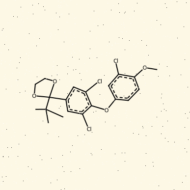 COc1ccc(Oc2c(Cl)cc(C3(C(C)(C)C)OCCO3)cc2Cl)cc1Cl